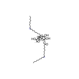 [CH2][C@H]1O[C@@]([CH2])(O[C@H]2O[C@H](COC(=O)CCCCCCC/C=C\CCCCCCCC)[C@@H](O)[C@H](O)[C@H]2OC(=O)CCCCCCC/C=C\CCCCCCCC)[C@@H](O)[C@@H]1O